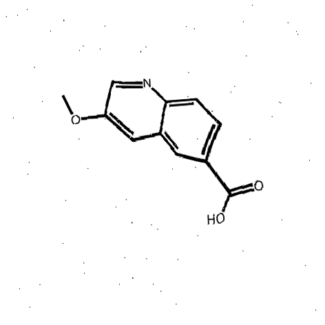 COc1cnc2ccc(C(=O)O)cc2c1